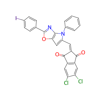 O=C1C(=Cc2cc3oc(-c4ccc(I)cc4)nc3n2-c2ccccc2)C(=O)c2cc(Cl)c(Cl)cc21